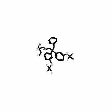 C[C@@](O)(CCl)CNCC(Cc1ccccc1)(c1cccc(OC(F)(F)F)c1)c1cccc(OC(F)(F)F)c1